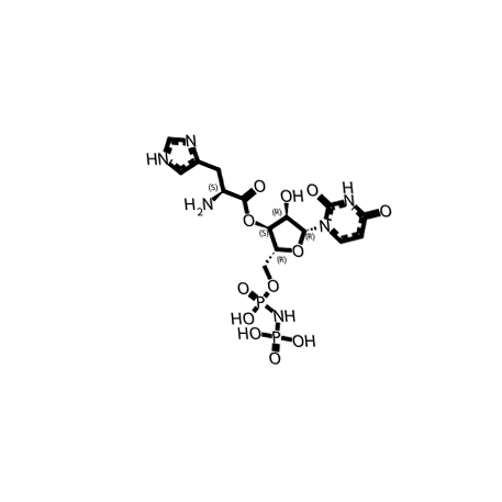 N[C@@H](Cc1c[nH]cn1)C(=O)O[C@H]1[C@@H](O)[C@H](n2ccc(=O)[nH]c2=O)O[C@@H]1COP(=O)(O)NP(=O)(O)O